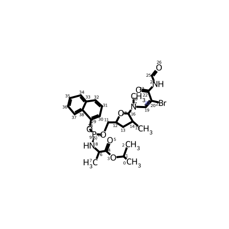 CC(C)OC(=O)C(C)N[P@](OCC1CC(C)C(N(C)/C=C(/Br)C(=O)NC=O)O1)Oc1cccc2ccccc12